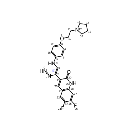 N=N/C(=C\Nc1ccc(OCCN2CCCC2)cc1)c1cc2cc(F)c(F)cc2[nH]c1=O